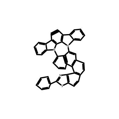 c1c2c3ccccc3n(-c3ccccc3)c2c2c(c#1)c1ccccc1n2-c1ccc2c(ccc3ccc4sc(-c5ccccc5)nc4c32)c1